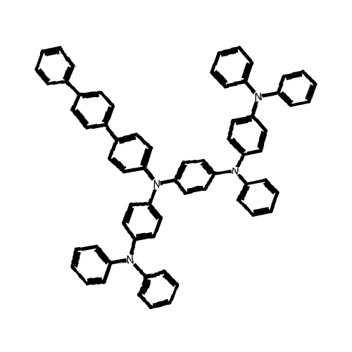 c1ccc(-c2ccc(-c3ccc(N(c4ccc(N(c5ccccc5)c5ccccc5)cc4)c4ccc(N(c5ccccc5)c5ccc(N(c6ccccc6)c6ccccc6)cc5)cc4)cc3)cc2)cc1